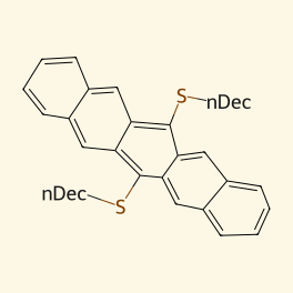 CCCCCCCCCCSc1c2cc3ccccc3cc2c(SCCCCCCCCCC)c2cc3ccccc3cc12